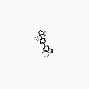 Cn1ccc2cc(-c3ccc(C4(C)CCNC4=O)c(O)n3)cc(F)c21